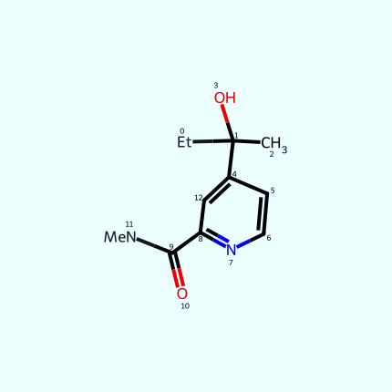 CCC(C)(O)c1ccnc(C(=O)NC)c1